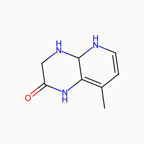 CC1=C2NC(=O)CNC2NC=C1